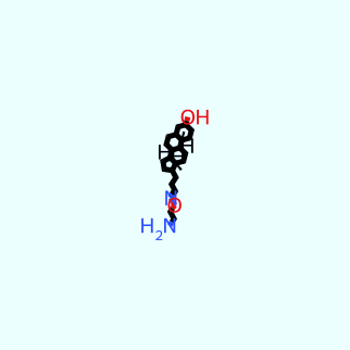 C[C@]12CCC(O)CC1CC[C@@H]1[C@H]2CC[C@]2(C)C(CCC=NOCCN)CC[C@@H]12